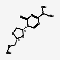 CCCCOC[C@H]1O[C@@H](n2ccc(N(CCCC)CCCC)nc2=O)CS1